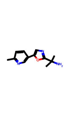 Cc1ccc(-c2cnc(C(C)(C)N)o2)cn1